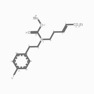 CCOC(=O)/C=C/CCN(CCc1ccc(I)cc1)C(=O)OC(C)(C)C